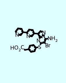 Nc1c(Br)c(Sc2ccc(CC(=O)O)cc2)nc2c(-c3ccc(-c4cccnc4)nc3)cnn12